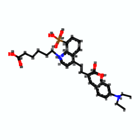 CCN(CC)c1ccc2cc(C=Cc3cc[n+](CCCCCC(=O)O)c4c(S(=O)(=O)O)cccc34)c(=O)oc2c1